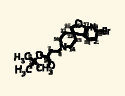 CC(C)(C)OC(=O)CCN1CCC2(CC1)COc1nc(Br)ccc12